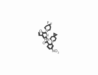 O=C(Nc1cc2ccoc2c(N2CCC(F)(F)CC2)n1)c1ccc([N+](=O)[O-])cc1N1CCC2(CC1)CC2